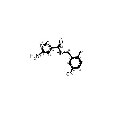 Cc1ccc(Cl)cc1CNC(=O)c1cc(N)no1